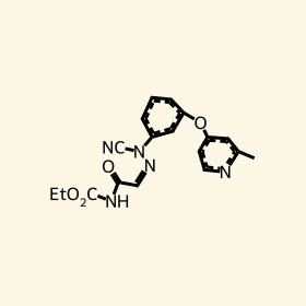 CCOC(=O)NC(=O)/C=N\N(C#N)c1cccc(Oc2ccnc(C)c2)c1